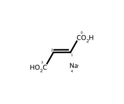 O=C(O)/C=C/C(=O)O.[Na]